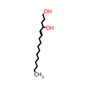 CCCCCCCCCCC=CC(O)CCCO